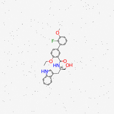 CCOc1ccc(-c2cccc(OC)c2F)cc1C(=O)N[C@@H](CO)Cc1c[nH]c2ccccc12